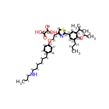 CCCNCCCCCCc1ccc(OCCc2csc(-c3cc(CCC)c(OCC)c(C(C)C)c3)n2)cc1.O=C(O)C(=O)O